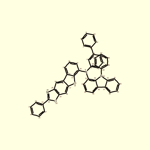 c1ccc(-c2cccc(N(c3cccc4c3oc3cc5oc(-c6ccccc6)nc5cc34)c3cccc4c5ccccc5n(-c5ccccc5)c34)c2)cc1